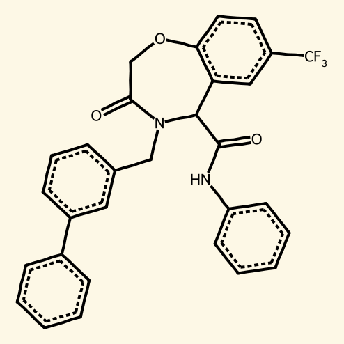 O=C(Nc1ccccc1)C1c2cc(C(F)(F)F)ccc2OCC(=O)N1Cc1cccc(-c2ccccc2)c1